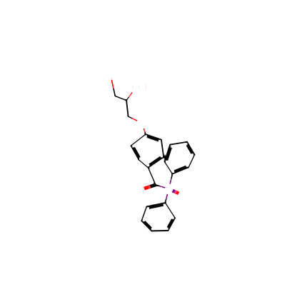 O=C(c1ccc(OCC(O)CO)cc1)P(=O)(c1ccccc1)c1ccccc1